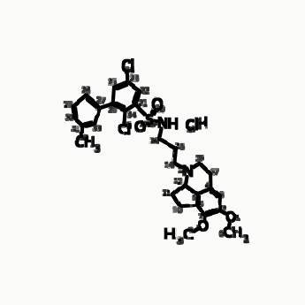 COc1cc2c3c(c1OC)CCC3N(CCCNS(=O)(=O)c1cc(Cl)cc(-c3cccc(C)c3)c1Cl)CC2.Cl